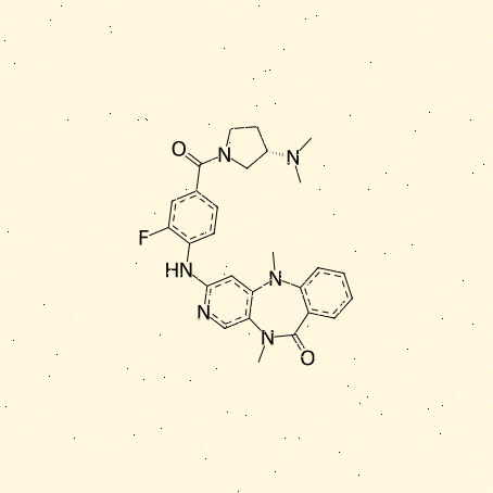 CN1C(=O)c2ccccc2N(C)c2cc(Nc3ccc(C(=O)N4CC[C@H](N(C)C)C4)cc3F)ncc21